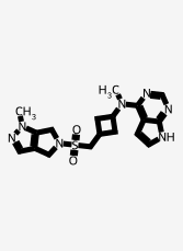 CN(c1ncnc2[nH]ccc12)C1CC(CS(=O)(=O)N2Cc3cnn(C)c3C2)C1